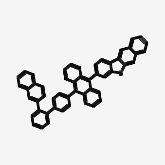 c1ccc(-c2ccc3ccccc3c2)c(-c2ccc(-c3c4ccccc4c(-c4ccc5c(c4)sc4cc6ccccc6cc45)c4ccccc34)cc2)c1